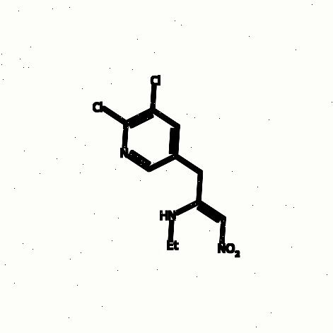 CCNC(=C[N+](=O)[O-])Cc1cnc(Cl)c(Cl)c1